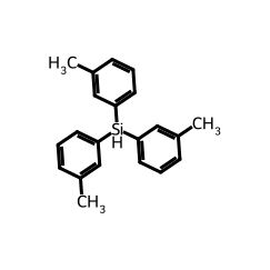 Cc1cccc([SiH](c2cccc(C)c2)c2cccc(C)c2)c1